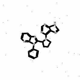 c1ccc(-n2c(C3CCCN3c3ncnc4[nH]cnc34)nc3cccnc32)cc1